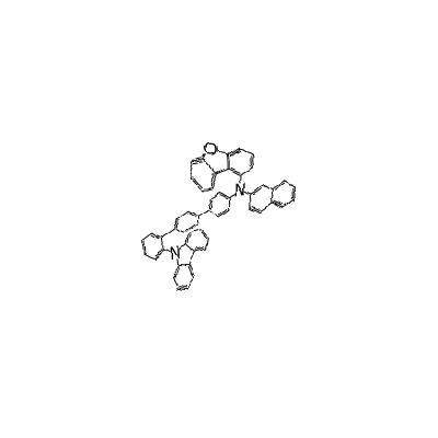 c1ccc(-n2c3ccccc3c3ccccc32)c(-c2ccc(-c3ccc(N(c4ccc5ccccc5c4)c4cccc5oc6ccccc6c45)cc3)cc2)c1